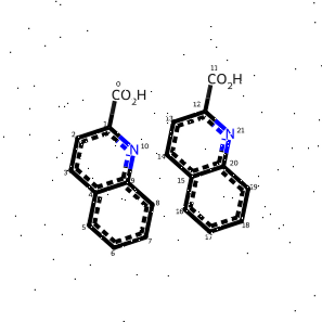 O=C(O)c1ccc2ccccc2n1.O=C(O)c1ccc2ccccc2n1